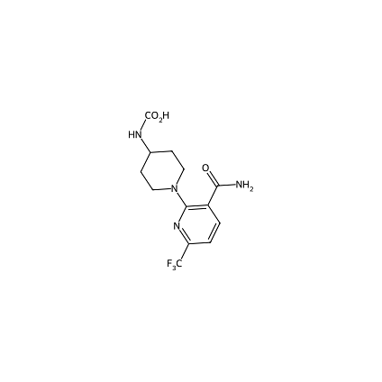 NC(=O)c1ccc(C(F)(F)F)nc1N1CCC(NC(=O)O)CC1